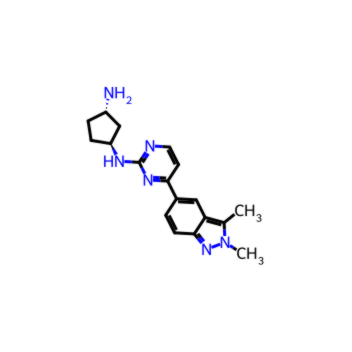 Cc1c2cc(-c3ccnc(N[C@H]4CC[C@H](N)C4)n3)ccc2nn1C